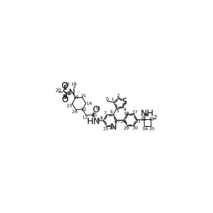 Cc1cscc1-c1cc(NC(=O)CC2CCC(N(C)S(C)(=O)=O)CC2)cnc1-c1ccc(C2(N)CCC2)cc1